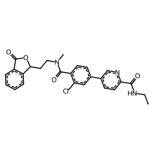 CCNC(=O)c1ccc(-c2ccc(C(=O)N(C)CCC3OC(=O)c4ccccc43)c(Cl)c2)cn1